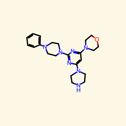 c1ccc(N2CCN(c3nc(N4CCNCC4)cc(N4CCOCC4)n3)CC2)cc1